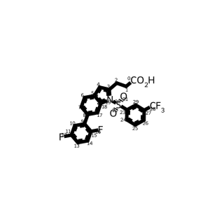 O=C(O)CCc1cc2ccc(-c3cc(F)ccc3F)cc2n1S(=O)(=O)c1cccc(C(F)(F)F)c1